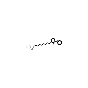 Cc1c(CCCCCCCCC(=O)O)ccc[n+]1-c1ccccc1